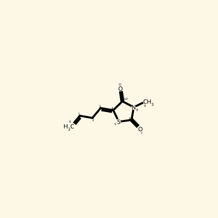 C=CC/C=C1\SC(=O)N(C)C1=O